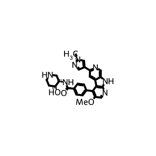 COc1cnc2[nH]c3cnc(-c4cnn(C)c4)cc3c2c1-c1ccc(C(=O)N[C@@H]2CNCC[C@H]2O)cc1